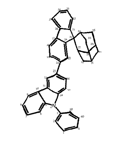 c1ccc(-n2c3ccccc3c3cc(-c4ccc5c(c4)C4(c6ccccc6-5)C5CC6CC(C5)CC4C6)ccc32)cc1